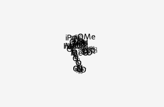 CC[C@H](C)[C@@H]([C@@H](CC(=O)N1CCC[C@H]1[C@H](OC)[C@@H](C)C(=S)N[C@@H](Cc1ccccc1)C(=O)OC)OC)N(C)[C@H](C(=O)NC(=O)C(C)(C)NC(=O)CCOCCOCCOCCN1C(=O)C=CC1=O)C(C)C